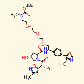 Cc1cc([C@H](C(=O)N2C[C@H](O)C[C@H]2C(=O)N[C@@H](COCCOCCOCCN(C)C(=O)OC(C)(C)C)c2ccc(-c3scnc3C)cc2)C(C)C)on1